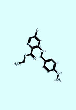 CCOC(=O)c1ncc(Br)cc1NCc1ccc(OC)cc1